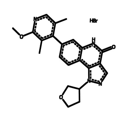 Br.COc1ncc(C)c(-c2ccc3c(c2)[nH]c(=O)c2cnn(C4CCOC4)c23)c1C